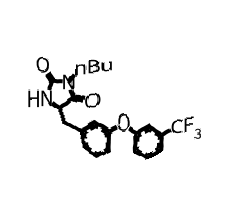 CCCCN1C(=O)NC(Cc2cccc(Oc3cccc(C(F)(F)F)c3)c2)C1=O